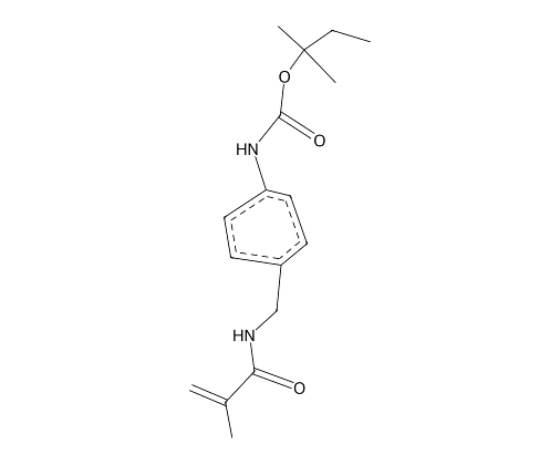 C=C(C)C(=O)NCc1ccc(NC(=O)OC(C)(C)CC)cc1